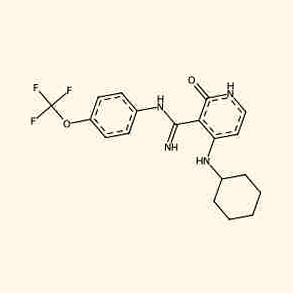 N=C(Nc1ccc(OC(F)(F)F)cc1)c1c(NC2CCCCC2)cc[nH]c1=O